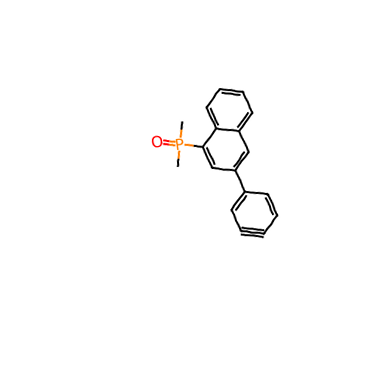 CP(C)(=O)c1cc(-c2cc#ccc2)cc2ccccc12